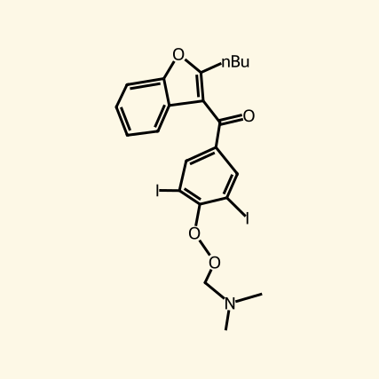 CCCCc1oc2ccccc2c1C(=O)c1cc(I)c(OOCN(C)C)c(I)c1